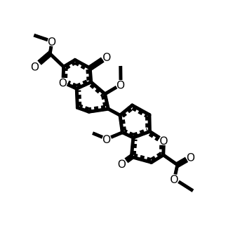 COC(=O)c1cc(=O)c2c(OC)c(-c3ccc4oc(C(=O)OC)cc(=O)c4c3OC)ccc2o1